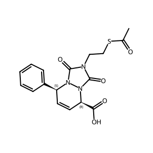 CC(=O)SCCn1c(=O)n2n(c1=O)[C@H](c1ccccc1)C=C[C@@H]2C(=O)O